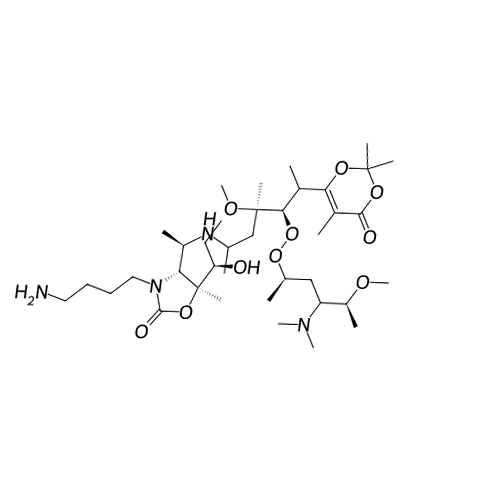 CC[C@@H](O)[C@@]1(C)OC(=O)N(CCCCN)[C@@H]1[C@@H](C)NC(C)C[C@@](C)(OC)[C@H](OO[C@H](C)CC([C@H](C)OC)N(C)C)C(C)C1=C(C)C(=O)OC(C)(C)O1